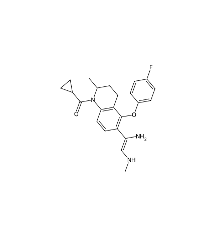 CN/C=C(\N)c1ccc2c(c1Oc1ccc(F)cc1)CCC(C)N2C(=O)C1CC1